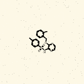 Cc1ccc(S(=O)(=O)Nc2nccnc2OCc2ccccc2C)cc1